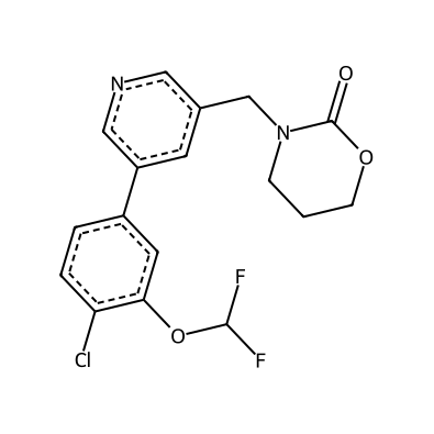 O=C1OCCCN1Cc1cncc(-c2ccc(Cl)c(OC(F)F)c2)c1